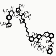 Cc1ncsc1-c1ccc(C(C)NC(=O)[C@@H]2C[C@@H](O)CN2C(=O)C(n2cc(CCCCCOc3cccc(-c4ccc(N5CCc6cccc(C(=O)Nc7nc8ccccc8s7)c6C5)nc4C(=O)OC(C)(C)C)c3C)nn2)C(C)(C)C)cc1